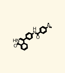 CN(C)c1ccc(C(=O)Nc2ccc(C3=CNC(=O)C4=CC=CCC43)cc2)cc1